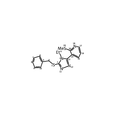 CCn1c(SCc2ccccc2)nnc1-c1cccnc1SC